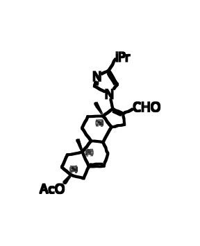 CC(=O)O[C@H]1CC[C@@]2(C)C(=CCC3C2CC[C@]2(C)C(n4cnc(C(C)C)c4)=C(C=O)CC32)C1